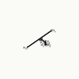 CCCCCCCCCCCCCCCCCCC(CCCCCCCCCCCCCCCCC)OC(=O)NCCOC(C)(C)COC(C)(C)C